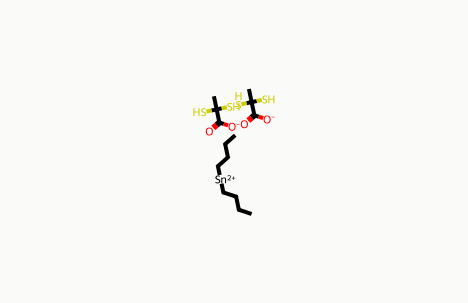 CC(S)(S)C(=O)[O-].CC(S)(S)C(=O)[O-].CCC[CH2][Sn+2][CH2]CCC